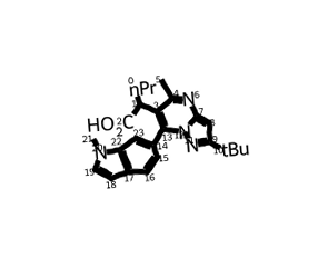 CCCC(C(=O)O)c1c(C)nc2cc(C(C)(C)C)nn2c1-c1ccc2ccn(C)c2c1